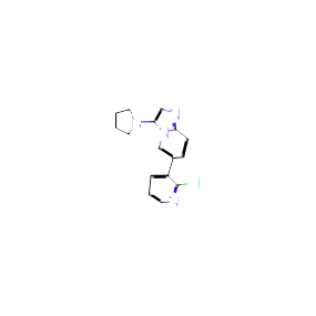 Clc1ncccc1-c1ccc2ncc(N3CCCC3)n2c1